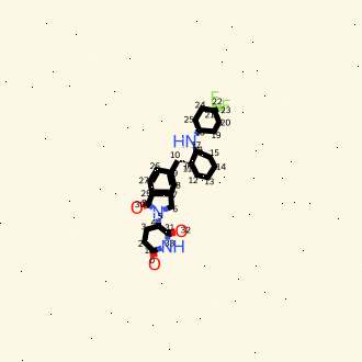 O=C1CCC(N2Cc3cc(C[C@H]4CCCC[C@@H]4NC4CCC(F)(F)CC4)ccc3C2=O)C(=O)N1